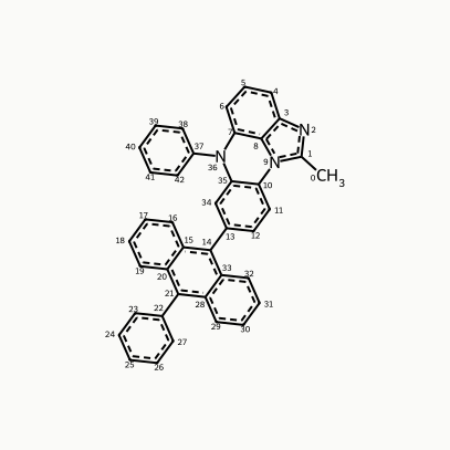 Cc1nc2cccc3c2n1-c1ccc(-c2c4ccccc4c(-c4ccccc4)c4ccccc24)cc1N3c1ccccc1